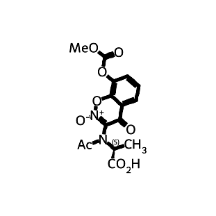 COC(=O)Oc1cccc2c(=O)c(N(C(C)=O)[C@@H](C)C(=O)O)[n+]([O-])oc12